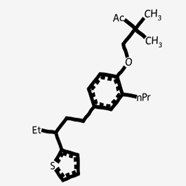 CCCc1cc(CCC(CC)c2cccs2)ccc1OCC(C)(C)C(C)=O